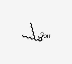 CCCCCCCCC(CCCCCC)Cc1ccc(C(=O)O)s1